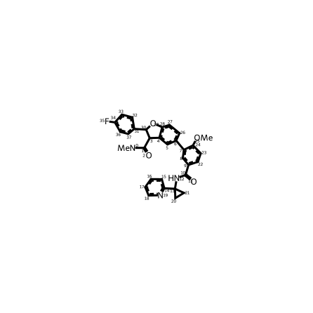 CNC(=O)C1c2cc(-c3cc(C(=O)NC4(c5ccccn5)CC4)ccc3OC)ccc2OC1c1ccc(F)cc1